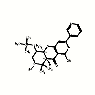 CC(C)[C@@H]1CC(O[Si](C)(C)C(C)(C)C)[C@@]2(C)OC3=C(C(=O)[C@@H]2C1(C)C)C(O)OC(c1cccnc1)=C3